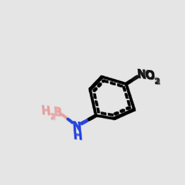 BNc1ccc([N+](=O)[O-])cc1